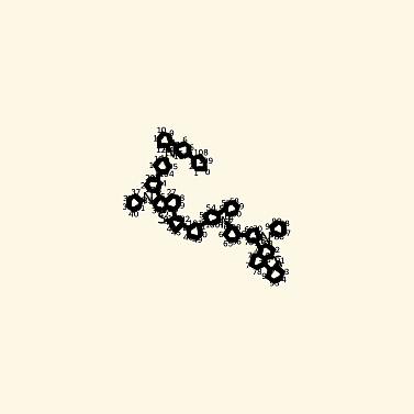 c1ccc(-c2ccc3c4ccccc4n(-c4ccc(-c5ccc6c(c5)c5c7cccc8c7c(cc5n6-c5ccccc5)Sc5ccc(-c6cccc(-c7ccc9c%10ccccc%10n(-c%10cccc(-c%11ccc%12c(c%11)c%11c%13cccc%14c%13c(cc%11n%12-c%11ccccc%11)Sc%11ccccc%11-%14)c%10)c9c7)c6)cc5-8)cc4)c3c2)cc1